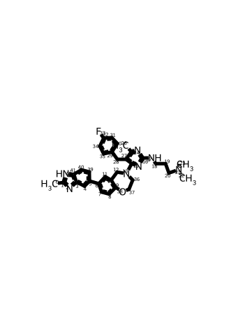 Cc1nc2cc(-c3ccc4c(c3)CN(c3nc(NCCCN(C)C)nc(C)c3Cc3ccc(F)cc3)CCO4)ccc2[nH]1